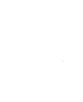 [O]CCSC1=NCCS1